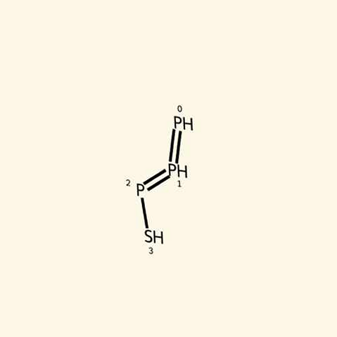 P=[PH]=PS